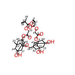 C=CC(=O)OCC(=O)OC12CC3(O)CC(O)(CC(COC45CC6(C)CC(O)(C4)CC(OC(=O)COC(=O)C(=C)C)(C6)C5)(C3)C1)C2